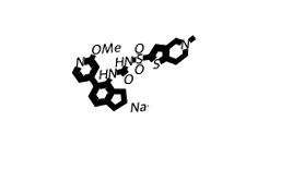 COc1cc(-c2ccc3c(c2NC(=O)NS(=O)(=O)c2cc4c(s2)CCN(C)C4)CCC3)ccn1.[Na]